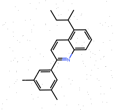 CCC(C)c1cccc2nc(-c3cc(C)cc(C)c3)ccc12